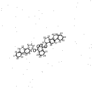 O=C(OC1CCCc2c1ccc1c2CCc2ccccc2-1)c1ccccc1C(=O)OC1CCCc2c1ccc1c2CCc2ccccc2-1